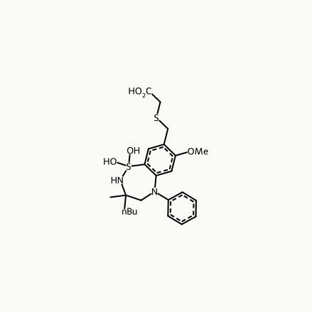 CCCCC1(C)CN(c2ccccc2)c2cc(OC)c(CSCC(=O)O)cc2S(O)(O)N1